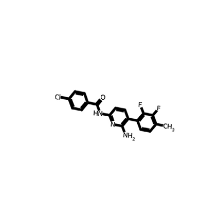 Cc1ccc(-c2ccc(NC(=O)c3ccc(Cl)cc3)nc2N)c(F)c1F